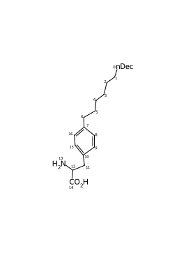 CCCCCCCCCCCCCCCCc1ccc(CC(N)C(=O)O)cc1